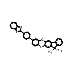 CC1(C)c2ccccc2-c2cc3c(cc21)Oc1ccc(-c2ccc(-c4nc5ccccc5o4)cc2)cc1O3